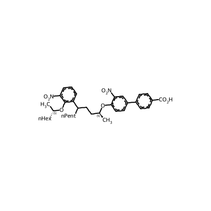 CCCCCC[C@H](C)Oc1c(C(CCCCC)CC[C@H](C)Oc2ccc(-c3ccc(C(=O)O)cc3)cc2[N+](=O)[O-])cccc1[N+](=O)[O-]